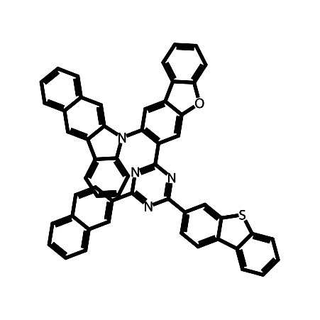 c1ccc2cc(-c3nc(-c4ccc5c(c4)sc4ccccc45)nc(-c4cc5oc6ccccc6c5cc4-n4c5ccccc5c5cc6ccccc6cc54)n3)ccc2c1